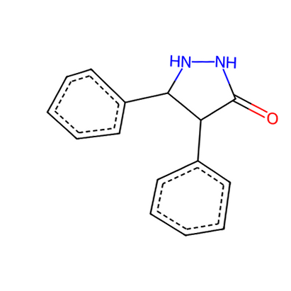 O=C1NNC(c2ccccc2)C1c1ccccc1